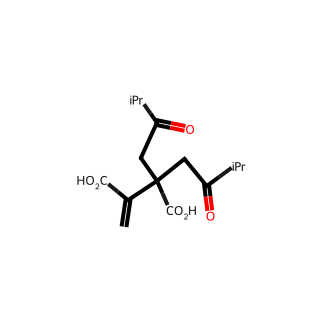 C=C(C(=O)O)C(CC(=O)C(C)C)(CC(=O)C(C)C)C(=O)O